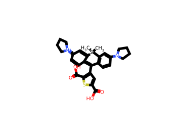 C[Si]1(C)C2=CC(=[N+]3CCCC3)C=CC2=C(c2cc(C(=O)O)sc2C(=O)O)c2ccc(N3CCCC3)cc21